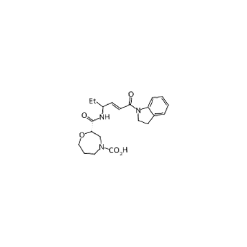 CCC(/C=C/C(=O)N1CCc2ccccc21)NC(=O)[C@@H]1CN(C(=O)O)CCCO1